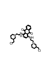 O=C1c2ccccc2C(=O)c2c(NCCN3CCCC(CCl)C3)ccc(NCCN3CCCC(CCl)C3)c21